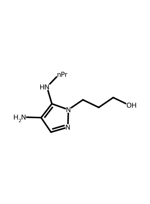 CCCNc1c(N)cnn1CCCO